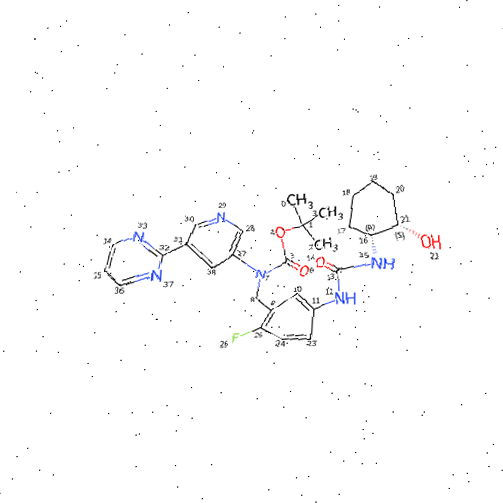 CC(C)(C)OC(=O)N(Cc1cc(NC(=O)N[C@@H]2CCCC[C@@H]2O)ccc1F)c1cncc(-c2ncccn2)c1